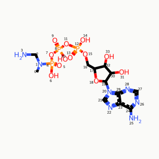 CN(CN)P(=O)(O)OP(=O)(O)OP(=O)(O)OCC1OC(n2cnc3c(N)ncnc32)C(O)C1O